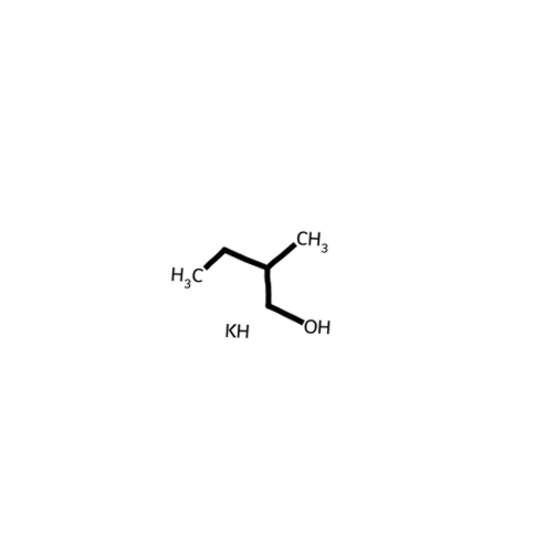 CCC(C)CO.[KH]